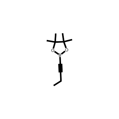 CCC#CB1OC(C)(C)C(C)(C)O1